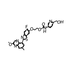 COc1cnc2c(-c3nc4cc(F)c(OCCOC(=O)Nc5ccc(CO)nc5)cc4s3)cc(C)cc2n1